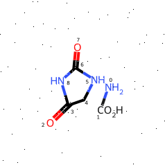 NC(=O)O.O=C1CNC(=O)N1